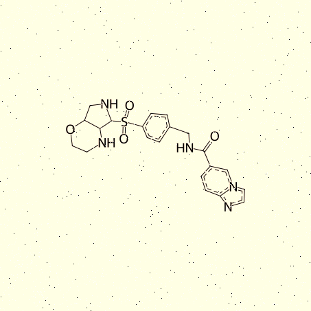 O=C(NCc1ccc(S(=O)(=O)C2NCC3OCCNC32)cc1)c1ccc2nccn2c1